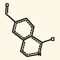 O=Cc1ccc2c(Cl)nccc2c1